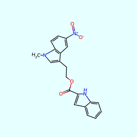 Cn1cc(CCOC(=O)c2cc3ccccc3[nH]2)c2cc([N+](=O)[O-])ccc21